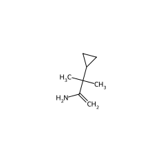 C=C(N)C(C)(C)C1CC1